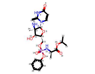 C=C1NC(=O)C=CN1[C@@H]1O[C@H](CO[P@](=O)(N[C@H](C)C(=O)OC(C)C)Oc2ccccc2)[C@@H](O)[C@@]1(C)N